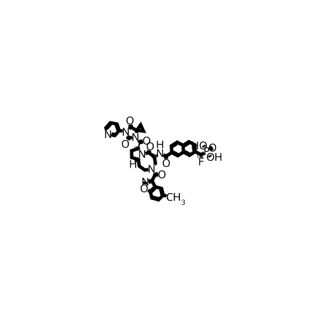 Cc1ccc2onc(C(=O)N3CC[C@H]4CC[C@@H](C(=O)N5C(=O)N(c6cccnc6)C(=O)C56CC6)N4C(=O)[C@@H](NC(=O)c4ccc5ccc([C@H](F)P(=O)(O)O)cc5c4)C3)c2c1